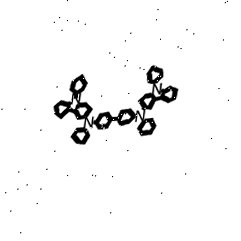 C1=CCC(n2c3ccccc3c3cc(N(c4ccccc4)c4ccc(-c5ccc(N(c6ccccc6)c6ccc7c(c6)c6ccccc6n7-c6ccccc6)cc5)cc4)ccc32)C=C1